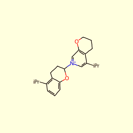 CC(C)c1c[n+](C2CCc3c(cccc3C(C)C)O2)cc2c1CCCO2